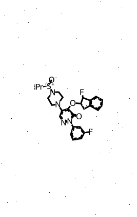 CC(C)[S@@+]([O-])N1CCN(c2cnn(-c3cccc(F)c3)c(=O)c2OC2Cc3ccccc3C2F)CC1